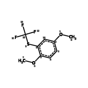 COc1ccc(OC)c(SC(F)(F)F)c1